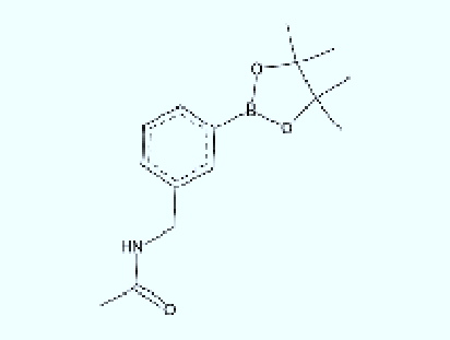 CC(=O)NCc1cccc(B2OC(C)(C)C(C)(C)O2)c1